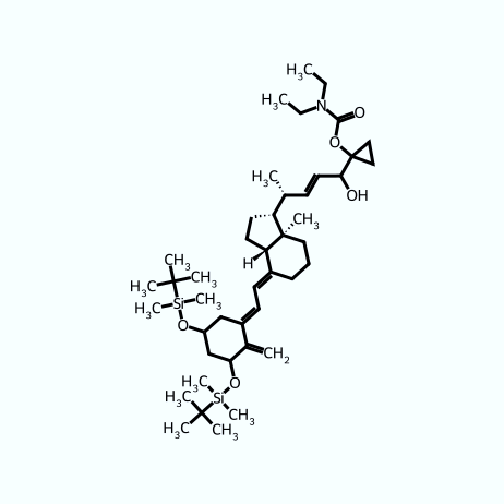 C=C1/C(=C/C=C2\CCC[C@]3(C)[C@@H]([C@H](C)/C=C/C(O)C4(OC(=O)N(CC)CC)CC4)CC[C@@H]23)CC(O[Si](C)(C)C(C)(C)C)CC1O[Si](C)(C)C(C)(C)C